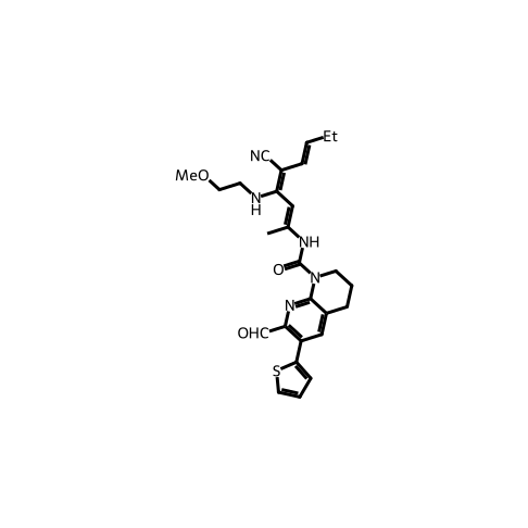 CC/C=C/C(C#N)=C(\C=C(/C)NC(=O)N1CCCc2cc(-c3cccs3)c(C=O)nc21)NCCOC